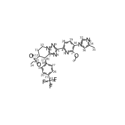 COc1nc(-c2nc3n(n2)CCC(S(C)(=O)=O)[C@@H]3c2ccc(C(F)(F)F)cc2)ccc1-n1cnc(C)c1